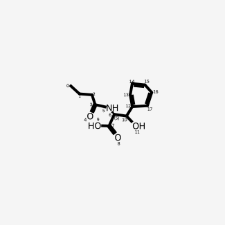 CCCC(=O)N[C@H](C(=O)O)C(O)c1ccccc1